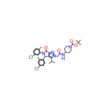 Cc1cc(Cl)ccc1C1c2c(nn(CC(=O)NC3CCN(C(=O)OC(C)(C)C)CC3)c2C(C)C)C(=O)N1c1cc(Cl)ccc1C